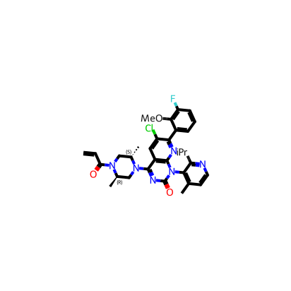 C=CC(=O)N1C[C@H](C)N(c2nc(=O)n(-c3c(C)ccnc3C(C)C)c3nc(-c4cccc(F)c4OC)c(Cl)cc23)C[C@H]1C